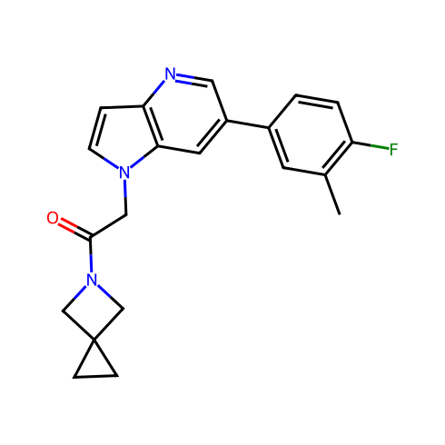 Cc1cc(-c2cnc3ccn(CC(=O)N4CC5(CC5)C4)c3c2)ccc1F